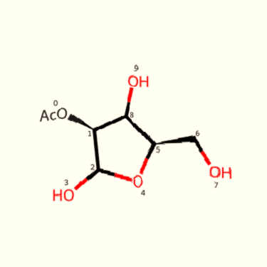 CC(=O)O[C@@H]1C(O)O[C@H](CO)C1O